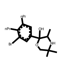 CCCc1cc(C2(O)OCC(C)(C)NC2C)cc(Br)c1CCC